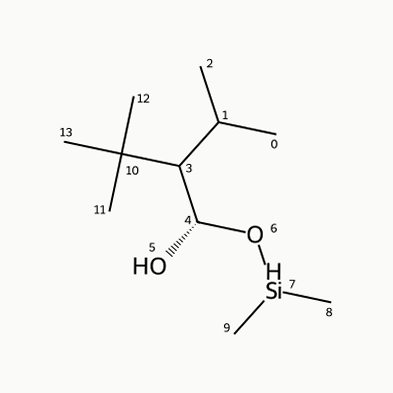 CC(C)C([C@@H](O)O[SiH](C)C)C(C)(C)C